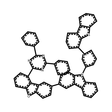 c1ccc(-c2nc(-c3ccccc3)nc(-c3cccc4oc5ccc(-c6ccc7c(c6)c6ccccc6n7-c6cccc(-c7cccc8c7sc7ccccc78)c6)cc5c34)n2)cc1